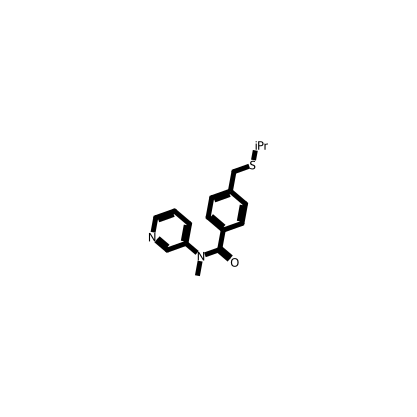 CC(C)SCc1ccc(C(=O)N(C)c2cccnc2)cc1